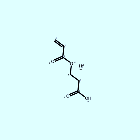 C=CC(=O)OCCC(=O)O.[Hf]